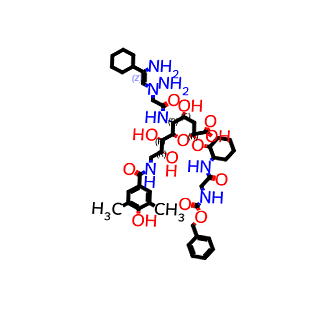 Cc1cc(C(=O)NC[C@@H](O)[C@@H](O)C2O[C@@](OC3CCCCC3NC(=O)CNC(=O)OCc3ccccc3)(C(=O)O)C[C@H](O)[C@H]2NC(=O)CN(N)/C=C(\N)C2CCCCC2)cc(C)c1O